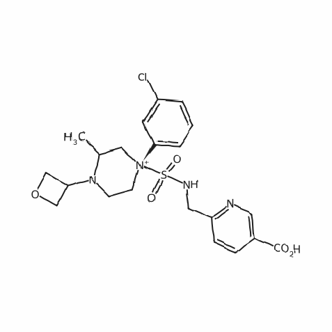 CC1C[N@+](c2cccc(Cl)c2)(S(=O)(=O)NCc2ccc(C(=O)O)cn2)CCN1C1COC1